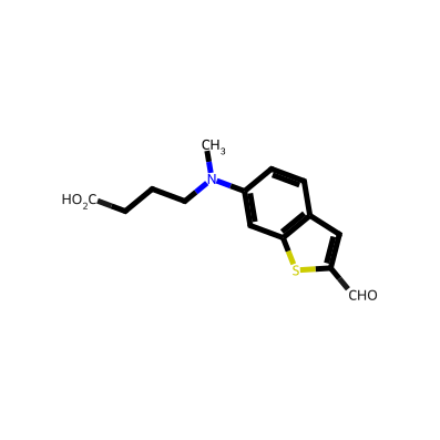 CN(CCCC(=O)O)c1ccc2cc(C=O)sc2c1